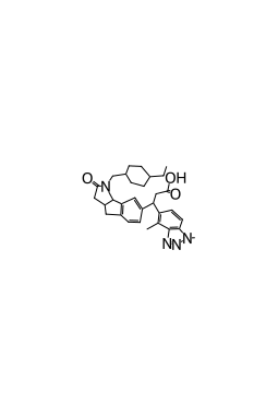 CCC1CCC(CN2C(=O)CC3Cc4ccc(C(CC(=O)O)c5ccc6c(nnn6C)c5C)cc4C32)CC1